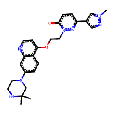 Cn1cc(-c2ccc(=O)n(CCOc3ccnc4cc(N5CCNC(C)(C)C5)ccc34)n2)cn1